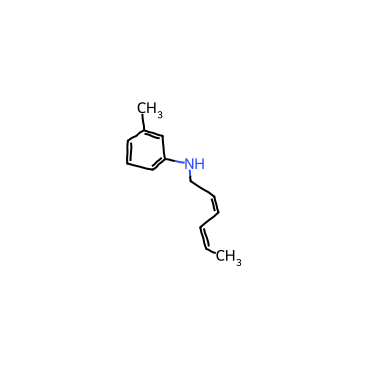 C/C=C\C=C/CNc1cccc(C)c1